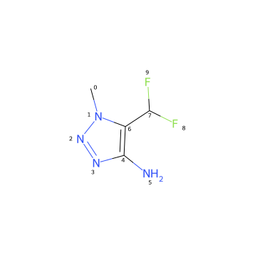 Cn1nnc(N)c1C(F)F